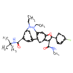 CCN1c2cc(C(=O)NC(C)(C)C)cc(c2)-c2cc3c(C(=O)NC)c(-c4ccc(F)cc4)oc3cc2N1CC